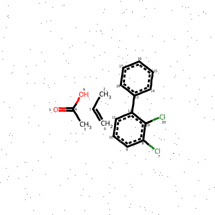 C=CC.CC(=O)O.Clc1cccc(-c2ccccc2)c1Cl